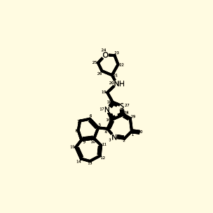 C=C1C=NC(C2=CCCC3=C2C=CCC=C3)=c2nc(CNC3CCOCC3)sc2=C1